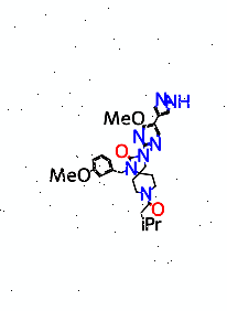 COc1cccc(CN2C(=O)N(c3ncc(-c4cn[nH]c4)c(OC)n3)CC23CCN(C(=O)CC(C)C)CC3)c1